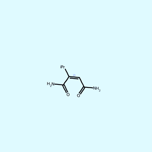 CC(C)/C(=C/C(N)=O)C(N)=O